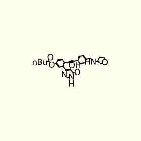 CCCCC(=O)Oc1ccc(C#Cc2ccc(CNC3CCOC3)cc2)c(-c2nc[nH]c(=O)c2O)c1